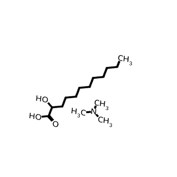 CCCCCCCCCCC(O)C(=O)O.CN(C)C